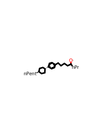 CCCCC[C@H]1CC[C@H](c2ccc(CCCCC([O])CCC)cc2)CC1